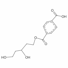 O=C(O)c1ccc(C(=O)OCCC(O)CCO)cc1